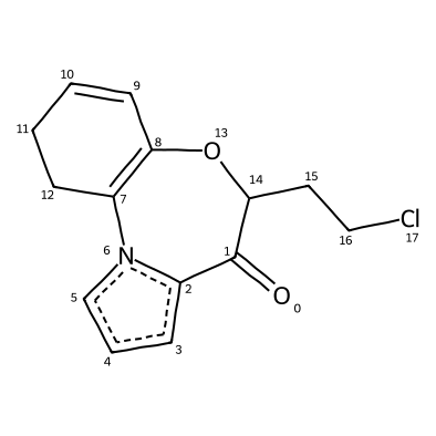 O=C1c2cccn2C2=C(C=CCC2)OC1CCCl